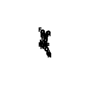 CN1CCN([C@H]2CC[C@@H](n3nc(-c4ccc(N(Cc5ccccc5)C(=O)Nc5ccc(F)cc5F)c(F)c4)c4c(N)ncnc43)CC2)CC1